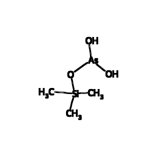 C[Si](C)(C)O[As](O)O